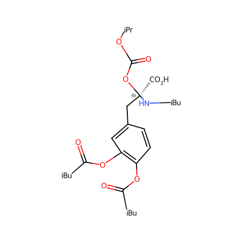 CCC(C)N[C@@](Cc1ccc(OC(=O)C(C)CC)c(OC(=O)C(C)CC)c1)(OC(=O)OC(C)C)C(=O)O